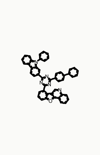 c1ccc(-c2ccc(-c3nc(-c4ccc5c6ccccc6n(-c6ccccc6)c5c4)nc(-c4cccc5oc6c7ccccc7ncc6c45)n3)cc2)cc1